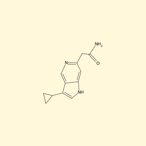 NC(=O)Cc1cc2[nH]cc(C3CC3)c2cn1